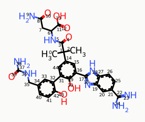 CC(C)(C(=O)NC(CC(N)=O)C(=O)O)c1cc(-c2nc3cc(C(=N)N)ccc3[nH]2)c(O)c(-c2cc(CNC(N)=O)ccc2O)c1